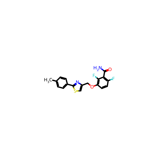 Cc1ccc(-c2nc(COc3ccc(F)c(C(N)=O)c3F)cs2)cc1